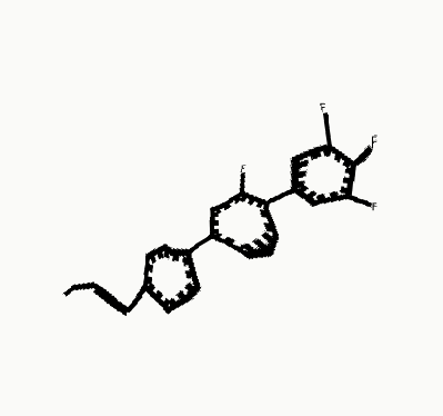 CC=Cc1ccc(-c2ccc(-c3cc(F)c(F)c(F)c3)c(F)c2)cc1